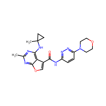 Cc1nc(NC2(C)CC2)c2c(C(=O)Nc3ccc(N4CCOCC4)nn3)coc2n1